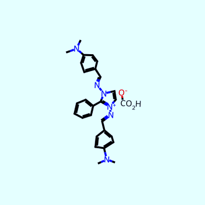 CN(C)c1ccc(C=Nn2cc[n+](N=Cc3ccc(N(C)C)cc3)c2-c2ccccc2)cc1.O=C([O-])O